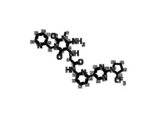 Cn1c(N)c(NCC(=O)Nc2cccc(-c3cnc(N4CCCC4C(F)(F)F)nc3)n2)c(=O)n(Cc2ccccn2)c1=O